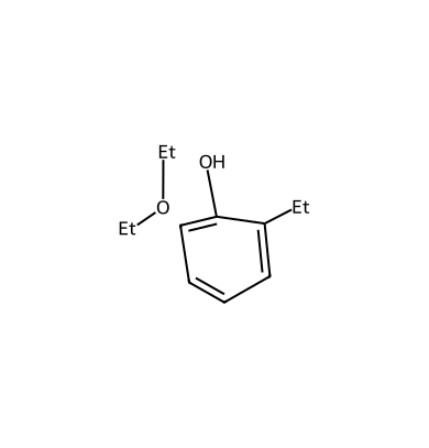 CCOCC.CCc1ccccc1O